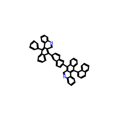 c1ccc(-c2c3ccccc3c(-c3ccc4cc(-c5c6ccccc6c(-c6cccc7ccccc67)c6c5cnc5ccccc56)ccc4c3)c3cnc4ccccc4c23)cc1